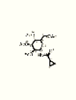 CC(=O)OCC1O[C@H](NC(=O)C2CC2)C(OC(C)=O)[C@@H](OC(C)=O)[C@@H]1OC(C)=O